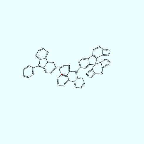 c1ccc(-c2ccccc2N(c2ccc(-c3ccc4c(c3)c3ccccc3n4-c3ccccc3)cc2)c2ccc3c(c2)C2(c4ccccc4Sc4ccccc42)c2c-3ccc3ccccc23)cc1